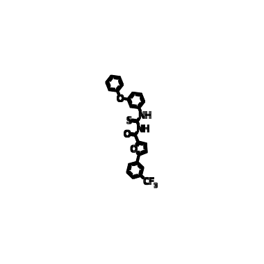 O=C(NC(=S)Nc1cccc(Oc2ccccc2)c1)c1ccc(-c2cccc(C(F)(F)F)c2)o1